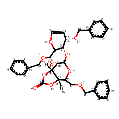 O=C1O[C@@H]2[C@H](O)C(O[C@@H]3C(COCc4ccccc4)OC=C[C@@H]3OCc3ccccc3)OC(COCc3ccccc3)[C@@H]2O1